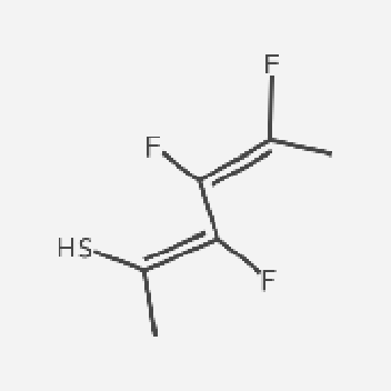 C/C(F)=C(F)\C(F)=C(\C)S